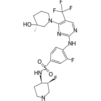 C[C@]1(O)CCCN(c2nc(Nc3ccc(S(=O)(=O)N[C@@H]4CCNC[C@@H]4F)cc3F)ncc2C(F)(F)F)C1